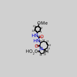 COc1ccc(NC(=O)N[C@H]2C/C=C\C[C@@H]3CC[C@@H](C(=O)O)N3C2=O)cc1